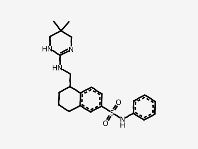 CC1(C)CN=C(NCC2CCCc3cc(S(=O)(=O)Nc4ccccc4)ccc32)NC1